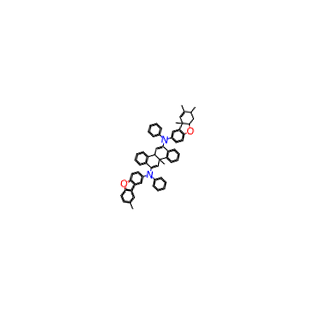 CC1=CC2(C)c3cc(N(C4=CC5c6ccccc6C(N(c6ccccc6)c6ccc7oc8ccc(C)cc8c7c6)=CC5(C)c5ccccc54)c4ccccc4)ccc3OC2CC1C